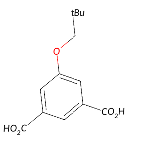 CC(C)(C)COc1cc(C(=O)O)cc(C(=O)O)c1